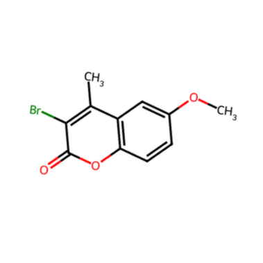 COc1ccc2oc(=O)c(Br)c(C)c2c1